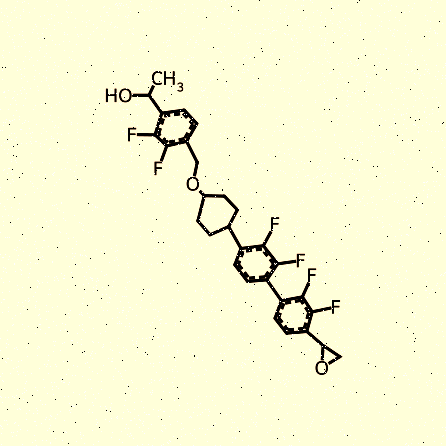 CC(O)c1ccc(COC2CCC(c3ccc(-c4ccc(C5CO5)c(F)c4F)c(F)c3F)CC2)c(F)c1F